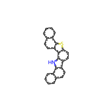 c1ccc2c(c1)ccc1c3ccc4sc5c6ccccc6ccc5c4c3[nH]c21